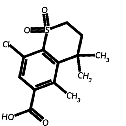 Cc1c(C(=O)O)cc(Cl)c2c1C(C)(C)CCS2(=O)=O